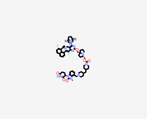 C#Cc1c(F)ccc2cccc(-c3ncc4c(N5C[C@H]6CC[C@@H](C5)N6)nc(OC[C@@]56CCCN5[C@H](COC(=O)N5CCC(CC7CCN(Cc8cccc9c8n(C)c(=O)n9C8CCC(=O)NC8=O)CC7)CC5)CC6)nc4c3F)c12